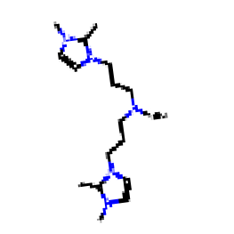 CCCCN(CCCN1C=CN(C)C1C)CCCN1C=CN(C)C1C